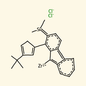 C[Si](C)=c1ccc2c(c1C1=CC(C(C)(C)C)=CC1)[C]([Zr+2])=c1ccccc1=2.[Cl-].[Cl-]